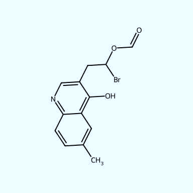 Cc1ccc2ncc(CC(Br)OC=O)c(O)c2c1